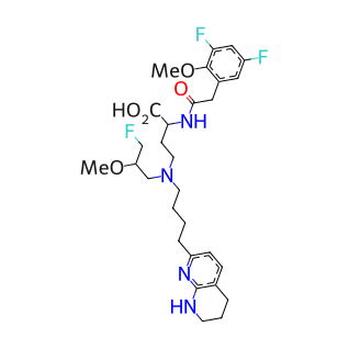 COc1c(F)cc(F)cc1CC(=O)NC(CCN(CCCCc1ccc2c(n1)NCCC2)CC(CF)OC)C(=O)O